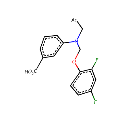 CC(=O)CN(COc1ccc(F)cc1F)c1cccc(C(=O)O)c1